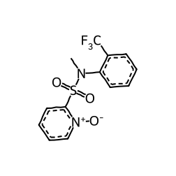 CN(c1ccccc1C(F)(F)F)S(=O)(=O)c1cccc[n+]1[O-]